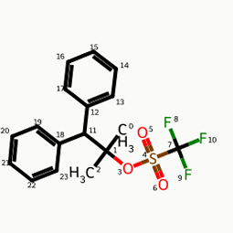 CC(C)(OS(=O)(=O)C(F)(F)F)C(c1ccccc1)c1ccccc1